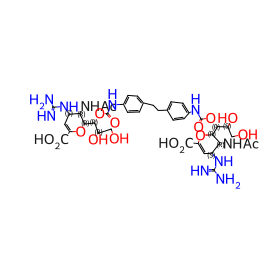 CC(=O)N[C@H]1[C@H]([C@H](OC(=O)Nc2ccc(CCc3ccc(NC(=O)O[C@@H]([C@@H]4OC(C(=O)O)=C[C@H](NC(=N)N)[C@H]4NC(C)=O)[C@@H](O)CO)cc3)cc2)[C@H](O)CO)OC(C(=O)O)=C[C@@H]1NC(=N)N